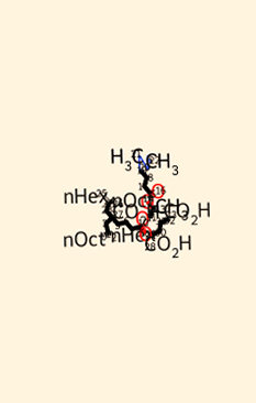 CCCCCCCCC(CCCCCC)CC(CCCC(=O)OCC(C)OC(=O)CCCN(C)C)(CC(CCCCCC)CCCCCCCC)C(=O)O.O=C(O)CCCCC(=O)O